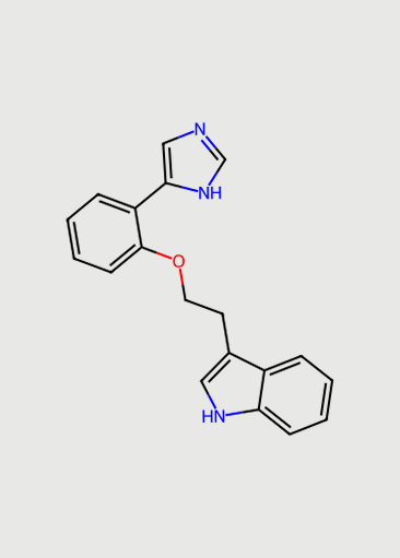 c1ccc(-c2cnc[nH]2)c(OCCc2c[nH]c3ccccc23)c1